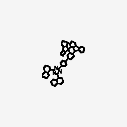 c1ccc2c(c1)-c1cccc3c1C2c1ccc(-c2ccc(-c4nc(-c5cccc6ccccc56)nc(-c5cccc6ccccc56)n4)cc2)cc1C31c2ccccc2-c2ccccc21